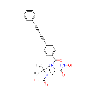 CC(C)(C)N(CC(NC(=O)c1ccc(C#CC#Cc2ccccc2)cc1)C(=O)NO)C(=O)O